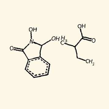 CCC(C)C(=O)O.O=C1c2ccccc2C(O)N1O